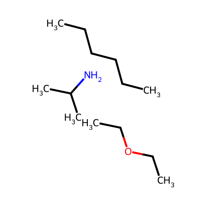 CC(C)N.CCCCCC.CCOCC